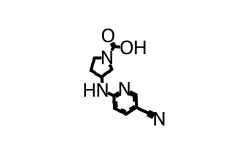 N#Cc1ccc(NC2CCN(C(=O)O)C2)nc1